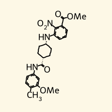 COC(=O)c1cccc(N[C@H]2CC[C@@H](C(=O)Nc3ccc(C)c(OC)c3)CC2)c1[N+](=O)[O-]